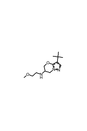 COCCNC1COc2c(C(C)(C)C)cnn2C1